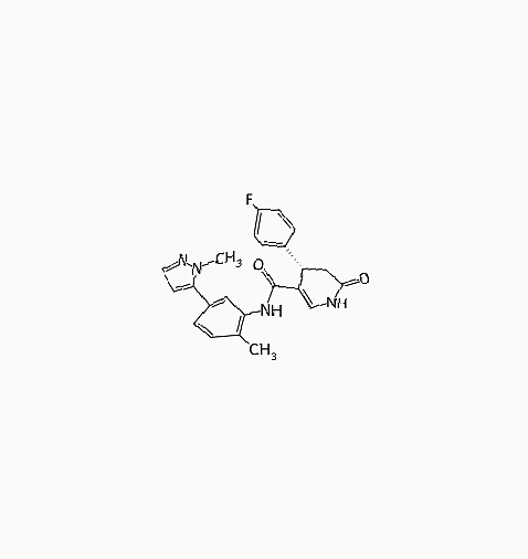 Cc1ccc(-c2ccnn2C)cc1NC(=O)C1=CNC(=O)C[C@H]1c1ccc(F)cc1